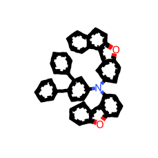 c1ccc(-c2ccc(N(c3ccc4oc5ccc6ccccc6c5c4c3)c3cccc4oc5ccccc5c34)cc2-c2ccccc2)cc1